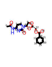 CC(=O)Nc1ccn(C2CO[C@H](COC(=O)c3ccccc3)O2)c(=O)n1